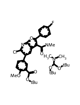 CN(C)C(OC(C)(C)C)OC(C)(C)C.CNC(=O)c1c(-c2ccc(F)cc2)oc2nc(Cl)c(-c3ccc(OC)c(C(=O)OC(C)(C)C)c3)cc12